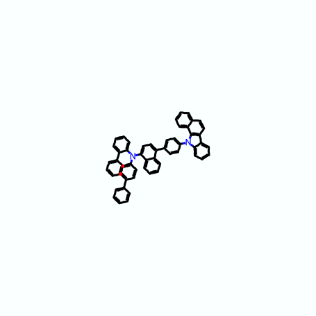 c1ccc(-c2ccc(N(c3ccccc3-c3ccccc3)c3ccc(-c4ccc(-n5c6ccccc6c6ccc7ccccc7c65)cc4)c4ccccc34)cc2)cc1